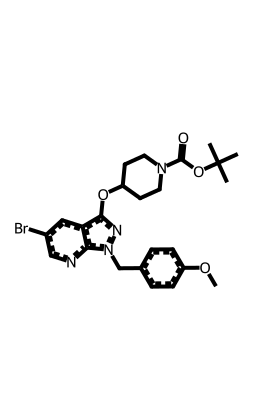 COc1ccc(Cn2nc(OC3CCN(C(=O)OC(C)(C)C)CC3)c3cc(Br)cnc32)cc1